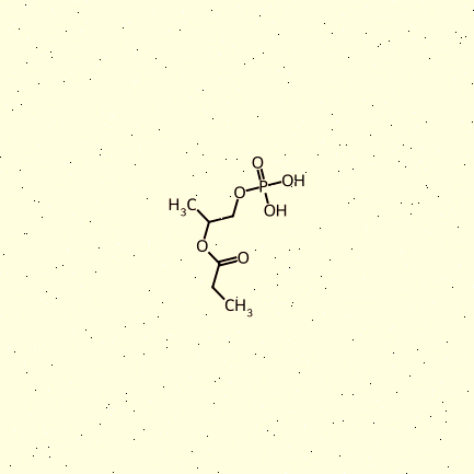 CCC(=O)OC(C)COP(=O)(O)O